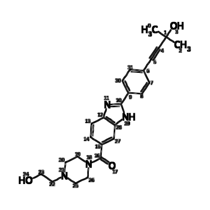 CC(C)(O)C#Cc1ccc(-c2nc3ccc(C(=O)N4CCN(CCO)CC4)cc3[nH]2)cc1